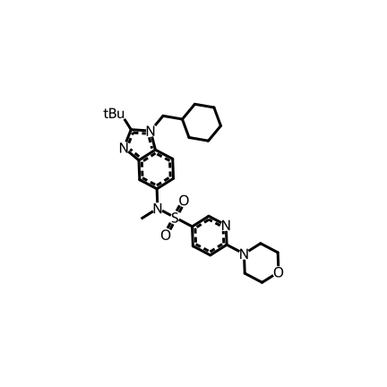 CN(c1ccc2c(c1)nc(C(C)(C)C)n2CC1CCCCC1)S(=O)(=O)c1ccc(N2CCOCC2)nc1